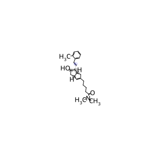 Cc1ccccc1/C=C/[C@@H]1[C@H]2CC(CCCCC(=O)N(C)C)=C[C@H]2C[C@H]1O